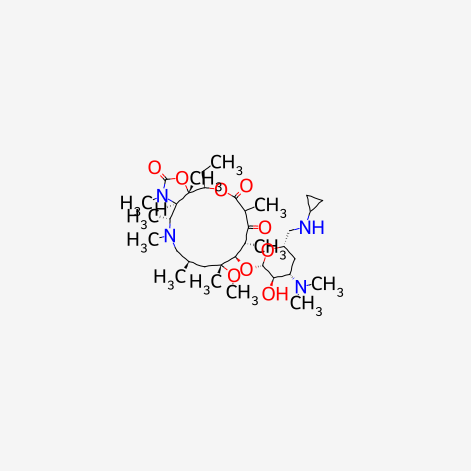 CC[C@H]1OC(=O)C(C)C(=O)[C@H](C)[C@@H](O[C@@H]2O[C@H](CNC3CC3)C[C@H](N(C)C)[C@H]2O)[C@](C)(OC)C[C@@H](C)CN(C)[C@H](C)[C@H]2N(C)C(=O)O[C@]12C